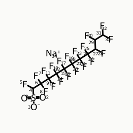 O=S(=O)([O-])C(F)C(F)(F)C(F)(F)C(F)(F)C(F)(F)C(F)(F)C(F)(F)C(F)(F)C(F)C(F)C(F)F.[Na+]